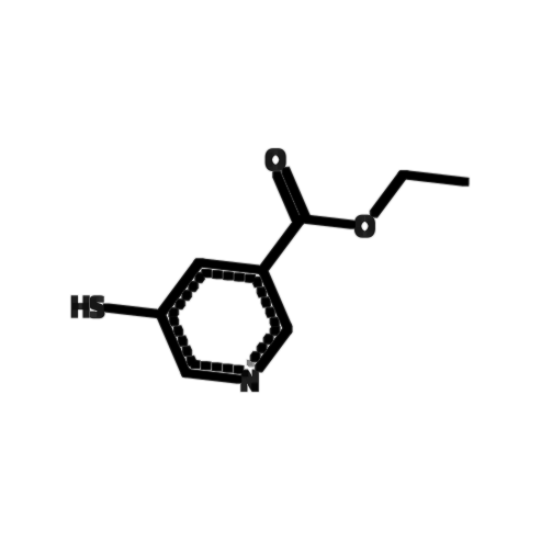 CCOC(=O)c1cncc(S)c1